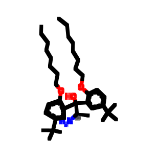 CCCCCCCCOc1ccc(C(C)(C)C)cc1C(O)(c1cc(C(C)(C)C)ccc1OCCCCCCCC)[C@@H](C)N